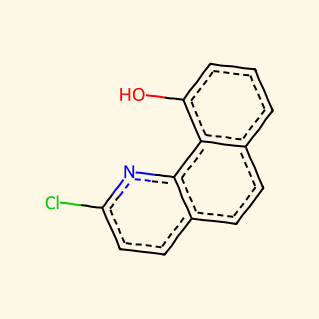 Oc1cccc2ccc3ccc(Cl)nc3c12